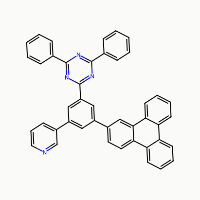 c1ccc(-c2nc(-c3ccccc3)nc(-c3cc(-c4cccnc4)cc(-c4ccc5c6ccccc6c6ccccc6c5c4)c3)n2)cc1